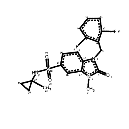 Cn1c(=O)n(Cc2c(F)cccc2F)c2ccc(S(=O)(=O)NC3(C)CC3)cc21